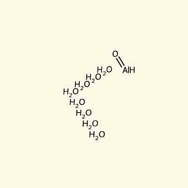 O.O.O.O.O.O.O.O.[O]=[AlH]